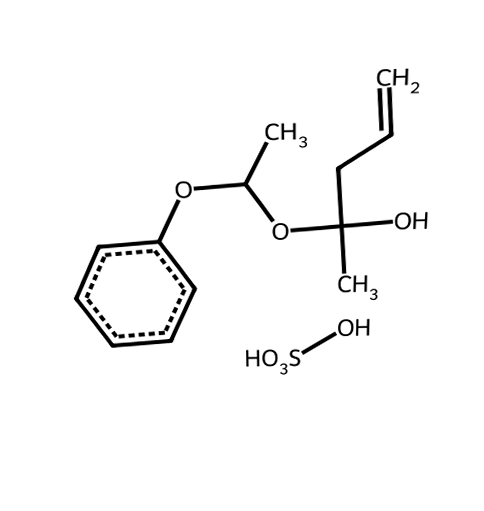 C=CCC(C)(O)OC(C)Oc1ccccc1.O=S(=O)(O)O